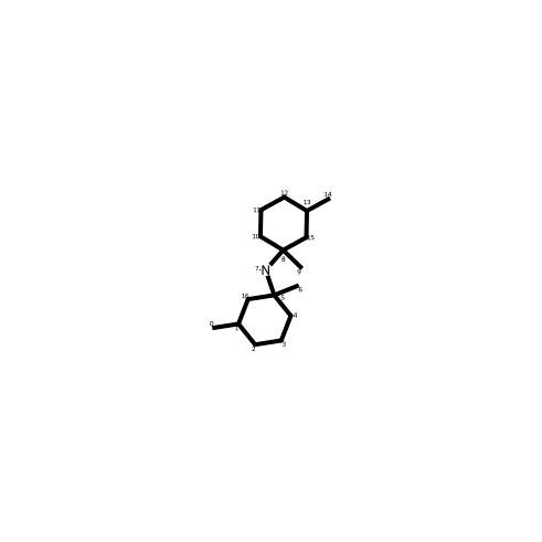 CC1CCCC(C)([N]C2(C)CCCC(C)C2)C1